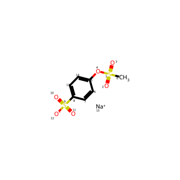 CS(=O)(=O)Oc1ccc(S(=O)(=O)[O-])cc1.[Na+]